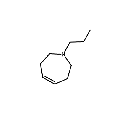 CCCN1CCC=CCC1